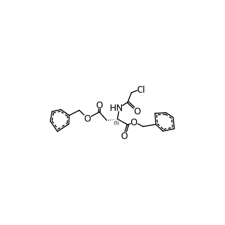 O=C(CCl)N[C@@H](CC(=O)OCc1ccccc1)C(=O)OCc1ccccc1